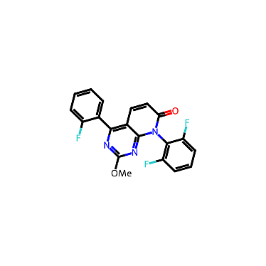 COc1nc(-c2ccccc2F)c2ccc(=O)n(-c3c(F)cccc3F)c2n1